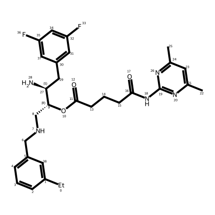 CCc1cccc(CNC[C@@H](OC(=O)CCCC(=O)Nc2nc(C)cc(C)n2)[C@@H](N)Cc2cc(F)cc(F)c2)c1